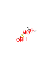 C=CCOCC(CC)(CO)COCCCSCC(O)CO